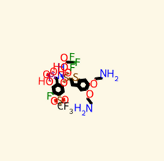 NCCOc1cc2cc(S(=O)(=O)NC(c3ccc(S(=O)(=O)C(F)(F)F)c(F)c3)P(=O)(O)O)sc2cc1OCCN.O=C(O)C(F)(F)F